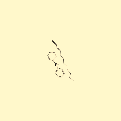 C=CC=CCCCCCCCC.c1cc[c]([Pt][c]2ccccc2)cc1